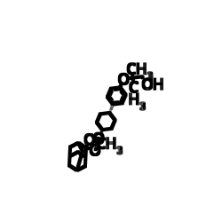 COC1(OO[C@H]2CC[C@@H](c3ccc(OC(C)(C)CO)cc3)CC2)C2CC3CC(C2)CC1C3